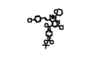 CC(C)(C)OC(=O)N1CCN(C(=O)c2cc(Cl)nc3c2c(C=Cc2ccc(Cl)cc2)nn3C2CCCCO2)CC1